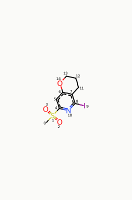 CS(=O)(=O)c1cc2c(c(I)n1)CCCO2